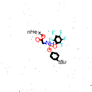 CCCCCCOC(=O)CNP(Oc1ccc(C(C)(C)C)cc1)Oc1c(F)c(F)c(F)c(F)c1F